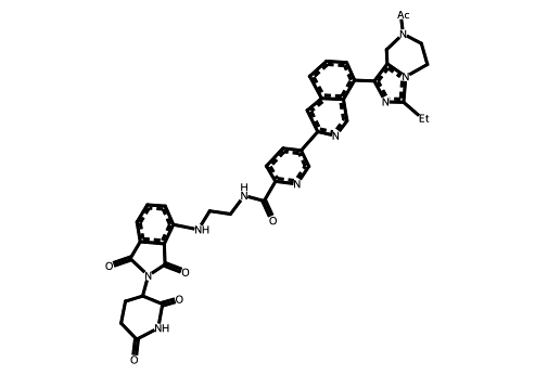 CCc1nc(-c2cccc3cc(-c4ccc(C(=O)NCCNc5cccc6c5C(=O)N(C5CCC(=O)NC5=O)C6=O)nc4)ncc23)c2n1CCN(C(C)=O)C2